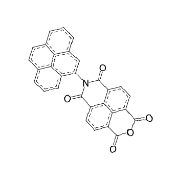 O=C1OC(=O)c2ccc3c4c(ccc1c24)C(=O)N(c1cc2cccc4ccc5cccc1c5c42)C3=O